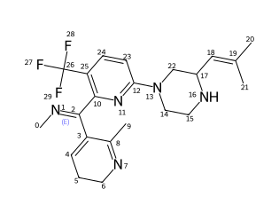 C/N=C(\C1=CCCN=C1C)c1nc(N2CCNC(C=C(C)C)C2)ccc1C(F)(F)F